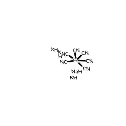 N#[C][Fe]([C]#N)([C]#N)([C]#N)([C]#N)[C]#N.[KH].[KH].[KH].[NaH]